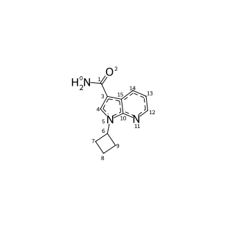 NC(=O)c1cn(C2CCC2)c2ncccc12